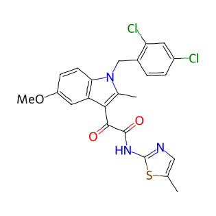 COc1ccc2c(c1)c(C(=O)C(=O)Nc1ncc(C)s1)c(C)n2Cc1ccc(Cl)cc1Cl